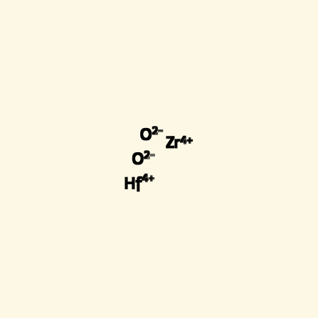 [Hf+4].[O-2].[O-2].[Zr+4]